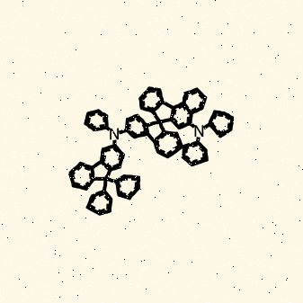 c1ccc(N(c2ccc3c(c2)-c2ccccc2C3(c2ccccc2)c2ccccc2)c2ccc3c(c2)-c2ccccc2C32c3ccccc3-c3c2cc(N(c2ccccc2)c2ccccc2)c2ccccc32)cc1